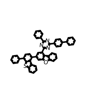 c1ccc(-c2ccc(-c3nc(-c4ccccc4)nc(-c4cc(-c5ccc(-c6ccccc6)c6sc7ccccc7c56)cc5oc6ccccc6c45)n3)cc2)cc1